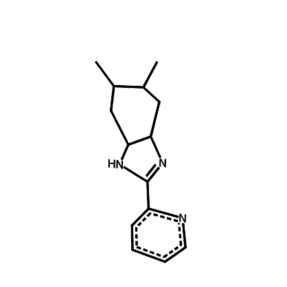 CC1CC2N=C(c3ccccn3)NC2CC1C